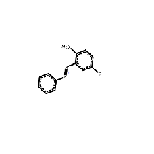 COc1ccc(Cl)cc1/N=N/c1ccccc1